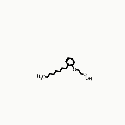 CCCCCCCCc1ccccc1OCCOO